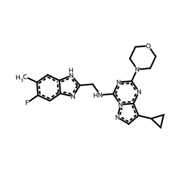 Cc1cc2[nH]c(CNc3nc(N4CCOCC4)nc4c(C5CC5)cnn34)nc2cc1F